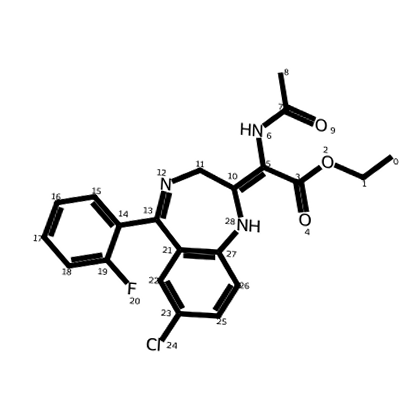 CCOC(=O)C(NC(C)=O)=C1CN=C(c2ccccc2F)c2cc(Cl)ccc2N1